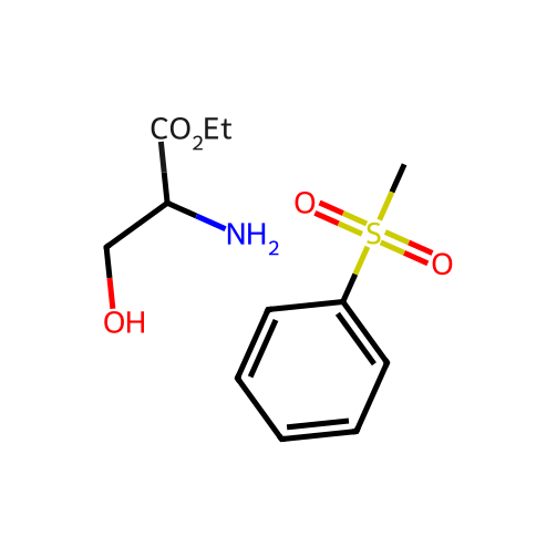 CCOC(=O)C(N)CO.CS(=O)(=O)c1ccccc1